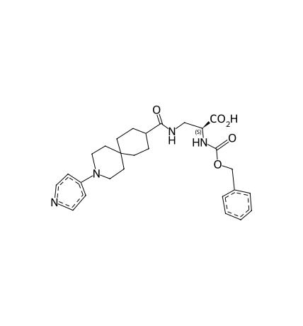 O=C(N[C@@H](CNC(=O)C1CCC2(CC1)CCN(c1ccncc1)CC2)C(=O)O)OCc1ccccc1